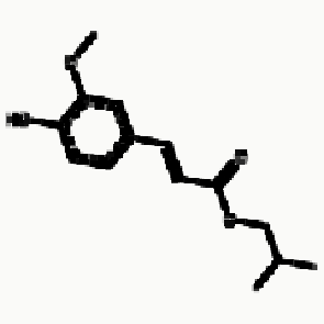 COc1cc(/C=C/C(=O)OCC(C)C)ccc1O